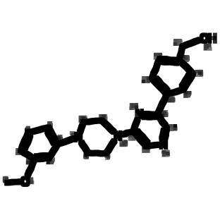 COc1cccc(N2CCN(c3cncc(-c4ccc(CO)cc4)n3)CC2)c1